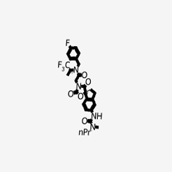 CCCN(C)C(=O)Nc1ccc2c(c1)CC[C@@]21OC(=O)N(CC(=O)N(Cc2ccc(F)cc2)[C@@H](C)C(F)(F)F)C1=O